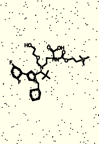 CC(C)(C)[C@H](c1cc(-c2cc(F)ccc2F)cn1Cc1ccccc1)N(CC[C@H](NC(=O)OCC[Si](C)(C)C)C(=O)O)COCCO